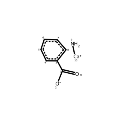 O=C([O-])c1ccccc1.[NH2][Ca+]